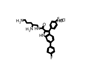 Cl.Cl.NCCCC(N)CNC(=O)c1[nH]c2cc(-c3ccc(F)cc3)ccc2c1-c1ccc(F)cc1